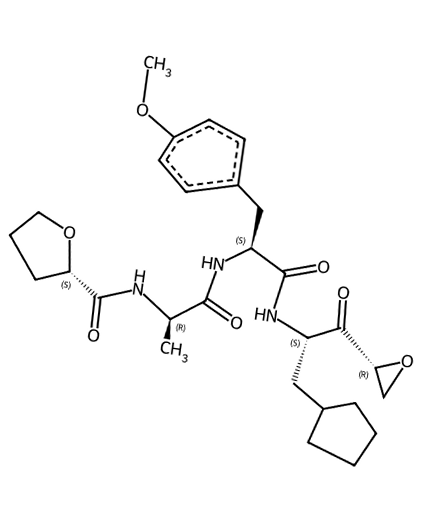 COc1ccc(C[C@H](NC(=O)[C@@H](C)NC(=O)[C@@H]2CCCO2)C(=O)N[C@@H](CC2CCCC2)C(=O)[C@H]2CO2)cc1